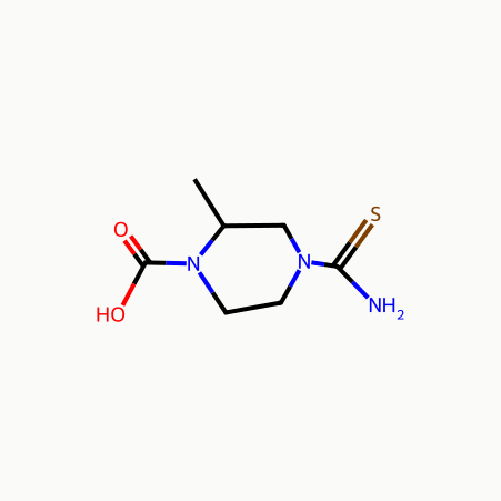 CC1CN(C(N)=S)CCN1C(=O)O